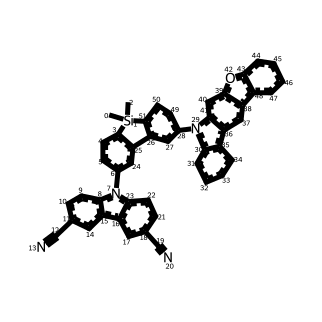 C[Si]1(C)c2ccc(-n3c4ccc(C#N)cc4c4cc(C#N)ccc43)cc2-c2cc(-n3c4ccccc4c4cc5c(cc43)oc3ccccc35)ccc21